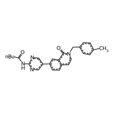 CCCCC(=O)Nc1ncc(-c2ccc3ccn(Cc4ccc(C)cc4)c(=O)c3c2)cn1